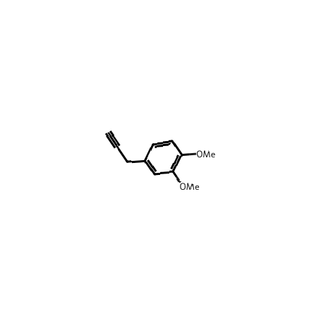 C#CCc1ccc(OC)c(OC)c1